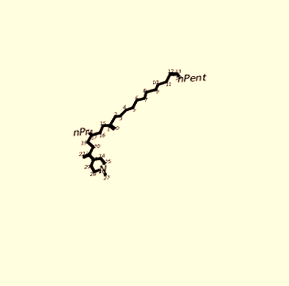 C=C(CCCCCCCCCC/C=C\CCCCC)CCC(CCC)CCC(=C)C1CCN(C)CC1